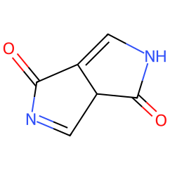 O=C1N=CC2C(=O)NC=C12